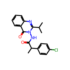 CC(C)c1nc2ccccc2c(=O)n1NC(=O)C(C)c1ccc(Cl)cc1